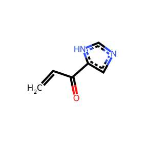 C=CC(=O)c1cnc[nH]1